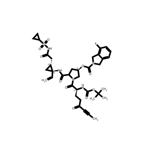 C=C[C@]1(NC(=O)C2C[C@@H](OC(=O)N3Cc4cccc(F)c4C3)CN2C(=O)[C@H](CCC(=O)C#CC)NC(=O)OC(C)(C)C)C[C@@H]1CC(=O)NS(=O)(=O)C1CC1